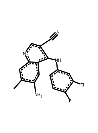 Cc1cc2ncc(C#N)c(Nc3ccc(F)c(Cl)c3)c2cc1N